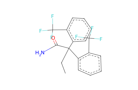 CCC(C(N)=O)(c1ccccc1C(F)(F)F)c1ccccc1C(F)(F)F